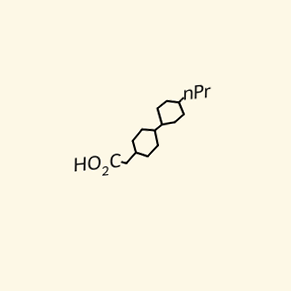 CCCC1CCC(C2CCC(CC(=O)O)CC2)CC1